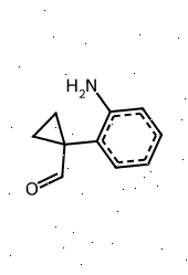 Nc1ccccc1C1(C=O)CC1